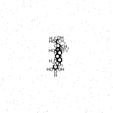 C[C@@H]1C[C@H]([C@H](O)C(C)(C)O)OC2=C1[C@@]1(C)CC[C@@]34C[C@@]35CC[C@H](O[C@@H]3OC[C@@H](O)[C@H](O)[C@H]3O)C(C)(C)[C@@H]5CC[C@H]4[C@]1(C)[C@H]2O